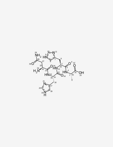 C[C@H](NC(=O)[C@H](Cc1c[nH]cn1)NC(=O)[C@H](Cc1c[nH]cn1)NC(=O)[C@@H](N)CC(N)=O)C(=O)O